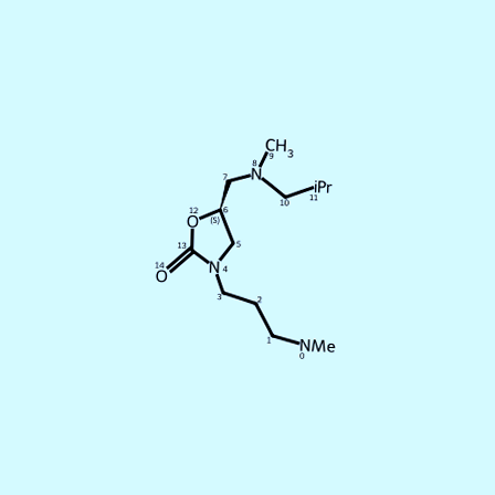 CNCCCN1C[C@H](CN(C)CC(C)C)OC1=O